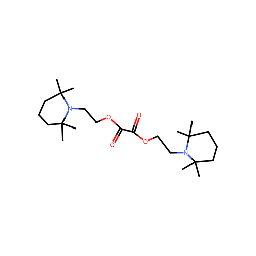 CC1(C)CCCC(C)(C)N1CCOC(=O)C(=O)OCCN1C(C)(C)CCCC1(C)C